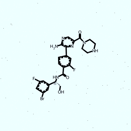 Nc1ncc(C(=O)N2CCNCC2)nc1-c1ccc(C(=O)N[C@H](CO)c2cc(F)cc(Br)c2)c(F)c1